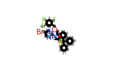 Fc1cc(F)c(COCC2CC(SC(c3ccccc3)(c3ccccc3)c3ccccc3)CN2c2ncc(Br)cn2)cc1F